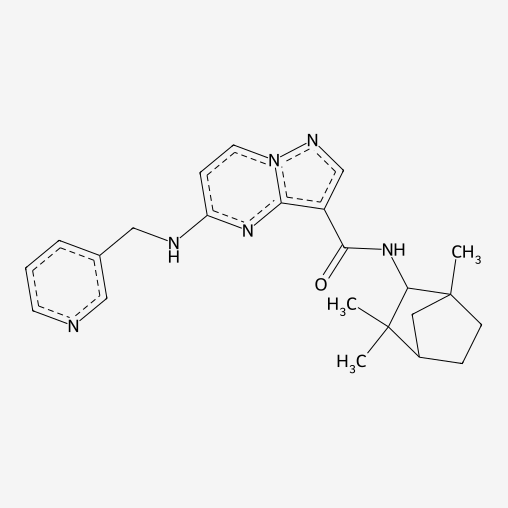 CC12CCC(C1)C(C)(C)C2NC(=O)c1cnn2ccc(NCc3cccnc3)nc12